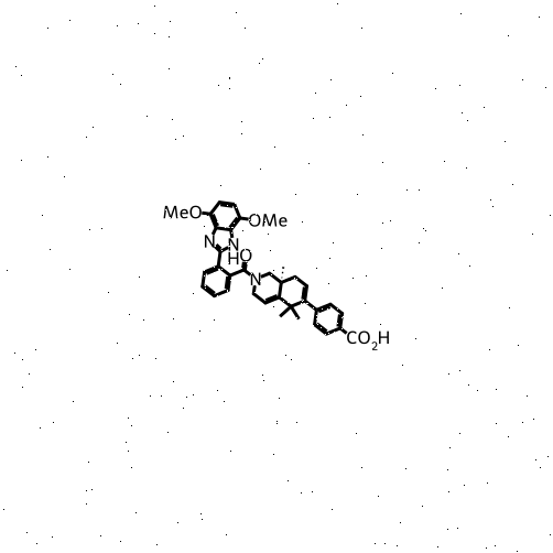 COc1ccc(OC)c2[nH]c(-c3ccccc3C(=O)N3CC=C4C(C)(C)C(c5ccc(C(=O)O)cc5)=CC[C@]4(C)C3)nc12